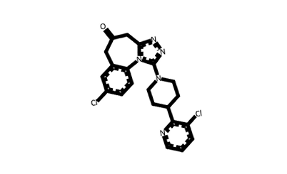 O=C1Cc2cc(Cl)ccc2-n2c(nnc2N2CCC(c3ncccc3Cl)CC2)C1